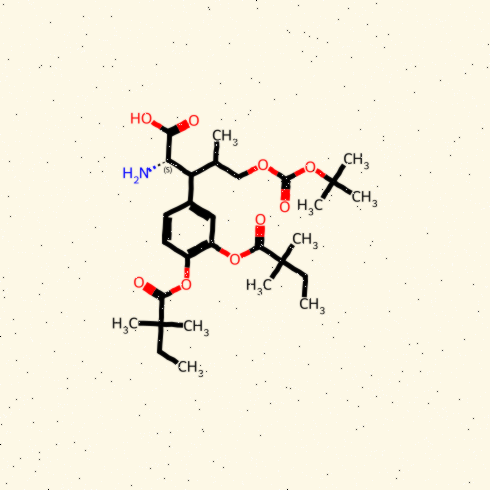 CCC(C)(C)C(=O)Oc1ccc(C(C(C)COC(=O)OC(C)(C)C)[C@H](N)C(=O)O)cc1OC(=O)C(C)(C)CC